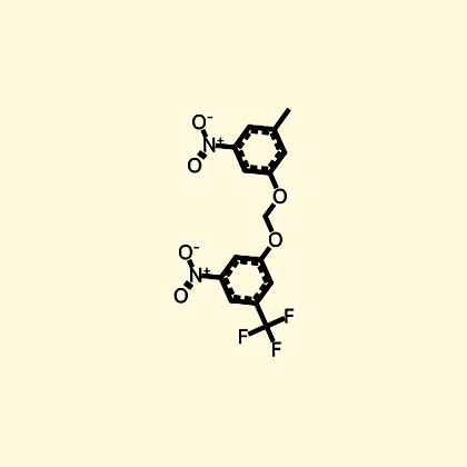 Cc1cc(OCOc2cc([N+](=O)[O-])cc(C(F)(F)F)c2)cc([N+](=O)[O-])c1